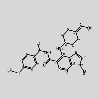 CCCOc1ccc(C(CC)NC(=O)c2cnc3c(cnn3CC)c2NC2CCC(=NO)CC2)cc1